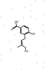 CC(=CCc1cc(C(=O)O)ccc1O)CO